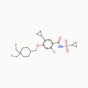 O=C(NS(=O)(=O)C1CC1)c1cc(C2CC2)c(OCC2CCC(CF)(CF)CC2)cc1F